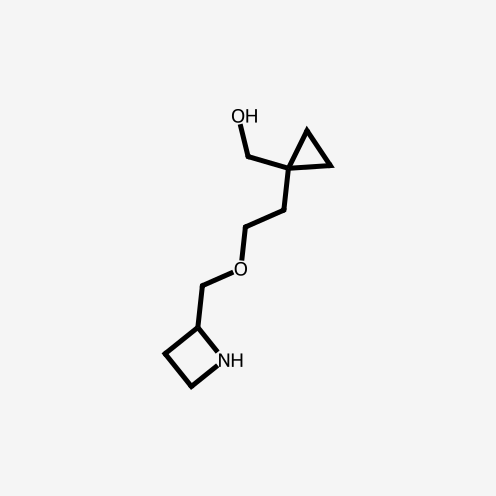 OCC1(CCOCC2CCN2)CC1